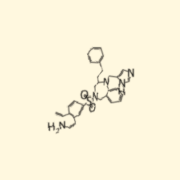 C=Cc1ccc(S(=O)(=O)N2Cc3ccccc3N(Cc3cnc[nH]3)C(CCc3ccccc3)C2)cc1/C=C\N